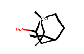 C[C]1(C)C2C[CH2][Cm]1([CH3])[CH](O)C2